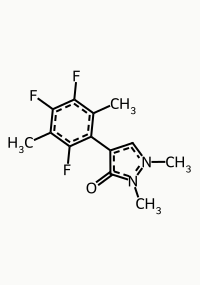 Cc1c(F)c(F)c(C)c(-c2cn(C)n(C)c2=O)c1F